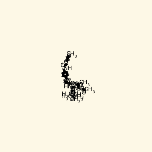 COCCOCC(=O)NCc1ccc(-c2nc(C(=O)N[C@@H](CO[Si](C)(C)C(C)(C)C)C(=O)N[C@@H](COC(C)=O)C(=O)OC)cs2)cc1